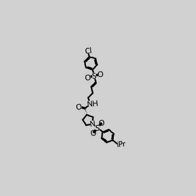 CC(C)c1ccc(S(=O)(=O)N2CC[C@H](C(=O)NCC/C=C/S(=O)(=O)c3ccc(Cl)cc3)C2)cc1